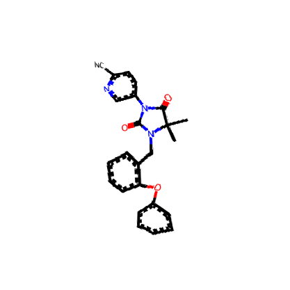 CC1(C)C(=O)N(c2ccc(C#N)nc2)C(=O)N1Cc1ccccc1Oc1ccccc1